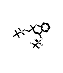 CC1(CO[Si](C)(C)C(C)(C)C)C=C(OS(=O)(=O)C(F)(F)F)c2ccccc2O1